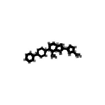 Cc1c(N2CCN(c3ccccc3)CC2)ncn2nc(-c3ccc(N)o3)nc12